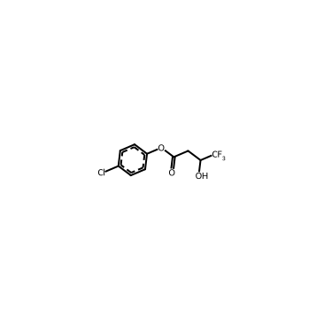 O=C(CC(O)C(F)(F)F)Oc1ccc(Cl)cc1